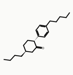 CCCCCc1ccc([C@H]2CC[C@H](CCCC)CC2=O)cc1